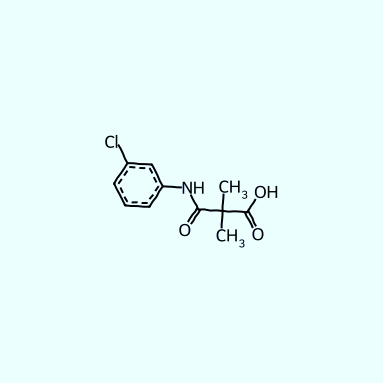 CC(C)(C(=O)O)C(=O)Nc1cccc(Cl)c1